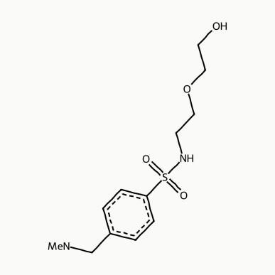 CNCc1ccc(S(=O)(=O)NCCOCCO)cc1